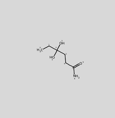 CCC(O)(O)CCC(N)=O